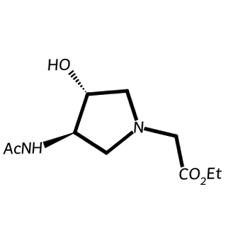 CCOC(=O)CN1C[C@@H](O)[C@H](NC(C)=O)C1